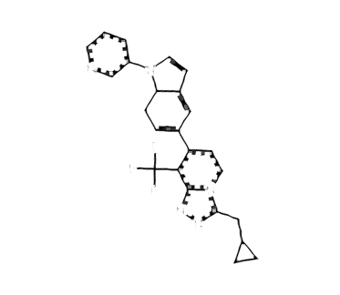 FC(F)(F)c1c(C2=CCC3C(=C2)C=CN3c2cccnc2)ccn2c(CC3CC3)nnc12